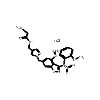 COc1ccccc1N(c1noc2cc(Cn3cc(CNC(=O)CN)cn3)cc(OC)c12)[SH](=O)=O.Cl